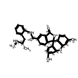 CN[C@@H](C)Cc1ccccc1NC(=O)c1ccc2c(c1)C(=O)OC21c2ccc(O)cc2Oc2cc(O)ccc21